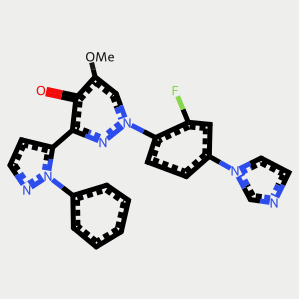 COc1cn(-c2ccc(-n3ccnc3)cc2F)nc(-c2ccnn2-c2ccccc2)c1=O